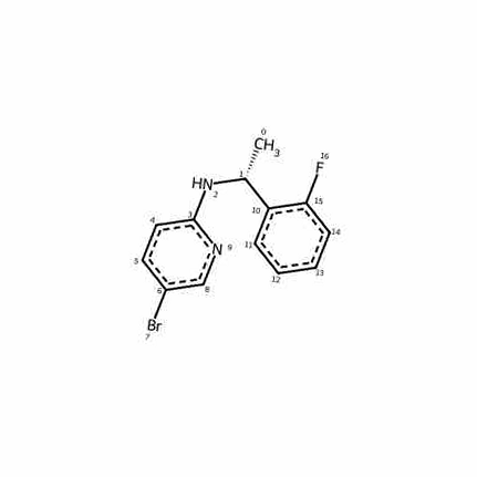 C[C@@H](Nc1ccc(Br)cn1)c1ccccc1F